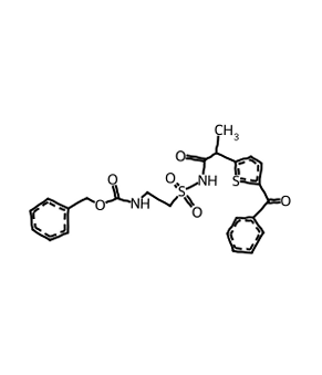 CC(C(=O)NS(=O)(=O)CCNC(=O)OCc1ccccc1)c1ccc(C(=O)c2ccccc2)s1